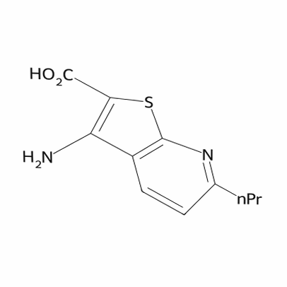 CCCc1ccc2c(N)c(C(=O)O)sc2n1